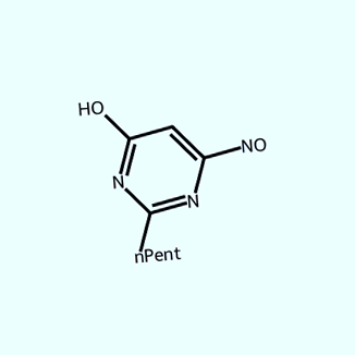 CCCCCc1nc(O)cc(N=O)n1